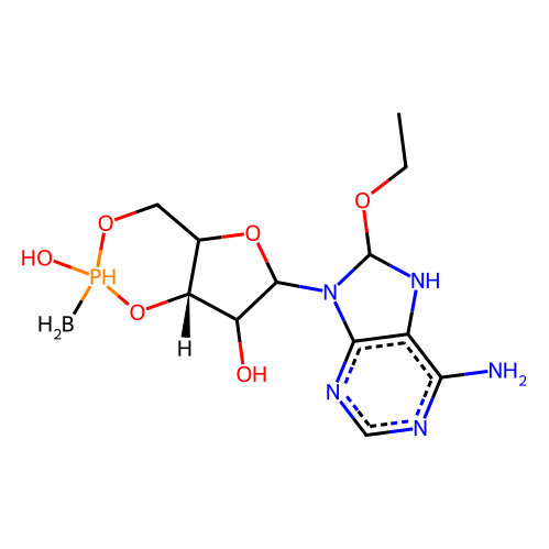 B[PH]1(O)OCC2OC(N3c4ncnc(N)c4NC3OCC)C(O)[C@@H]2O1